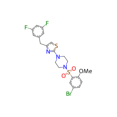 COc1ccc(Br)cc1S(=O)(=O)N1CCN(c2nc(Cc3cc(F)cc(F)c3)cs2)CC1